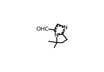 CC1(C)CCc2ncc(C=O)n21